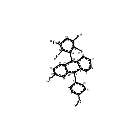 COc1ccc(-c2c3ccccc3c(-c3c(F)c(F)cc(F)c3F)c3ccc(F)cc23)cc1